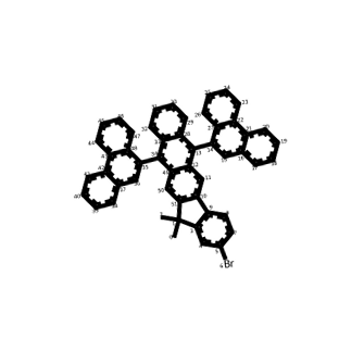 CC1(C)c2cc(Br)ccc2-c2cc3c(-c4cc5ccccc5c5ccccc45)c4ccccc4c(-c4cc5ccccc5c5ccccc45)c3cc21